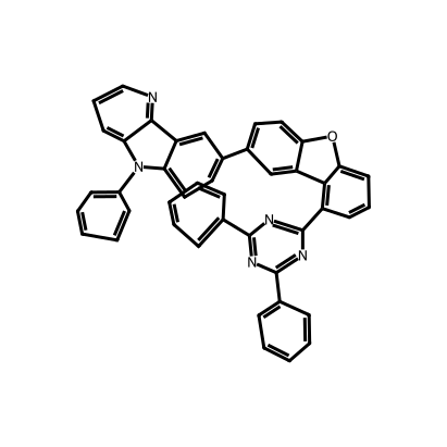 c1ccc(-c2nc(-c3ccccc3)nc(-c3cccc4oc5ccc(-c6ccc7c(c6)c6ncccc6n7-c6ccccc6)cc5c34)n2)cc1